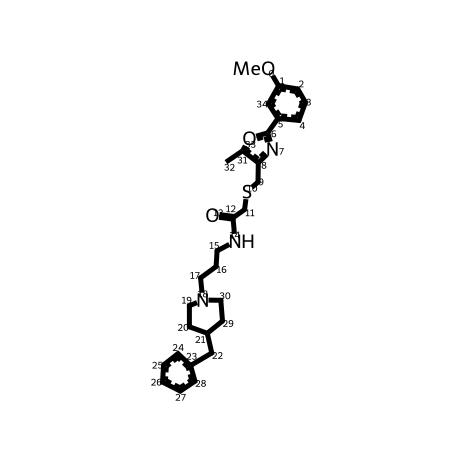 COc1cccc(-c2nc(CSCC(=O)NCCCN3CCC(Cc4ccccc4)CC3)c(C)o2)c1